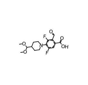 COC(OC)C1CCN(c2c(F)cc(C(=O)O)c(C=O)c2F)CC1